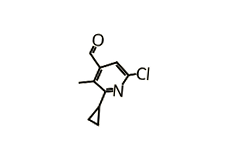 Cc1c(C=O)cc(Cl)nc1C1CC1